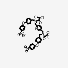 O=C(C(Cl)Cl)N(Cc1ccc(Oc2ccc([N+](=O)[O-])cc2)cc1)Cc1ccc(CN(Cc2ccc(Oc3ccc([N+](=O)[O-])cc3)cc2)C(=O)C(Cl)Cl)nc1